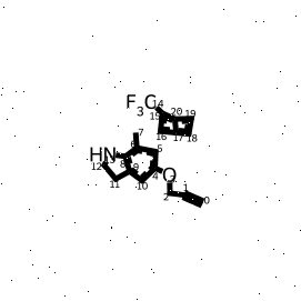 C#CCOc1cc(C)c2c(c1)CCN2.FC(F)(F)c1cc2ccc1-2